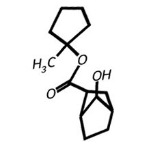 CC1(OC(=O)C2CC3CCC2C3O)CCCC1